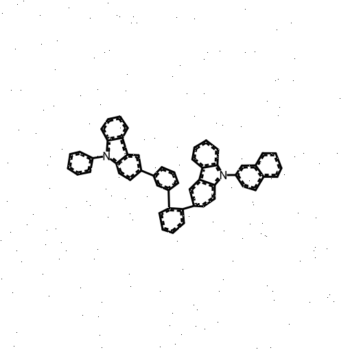 c1ccc(-n2c3ccccc3c3cc(-c4cccc(-c5ccccc5-c5ccc6c(c5)c5ccccc5n6-c5ccc6ccccc6c5)c4)ccc32)cc1